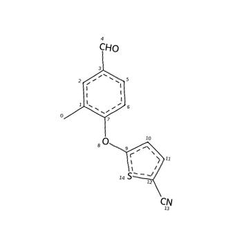 Cc1cc(C=O)ccc1Oc1ccc(C#N)s1